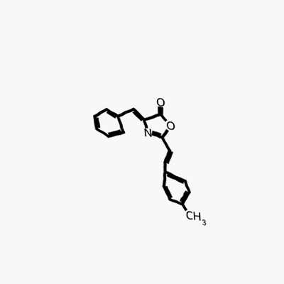 Cc1ccc(/C=C/C2=NC(=C\c3ccccc3)/C(=O)O2)cc1